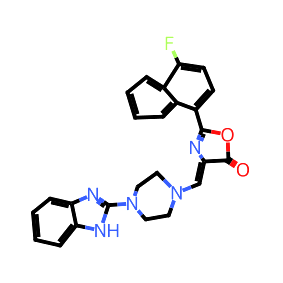 O=C1OC(c2ccc(F)c3ccccc23)=NC1=CN1CCN(c2nc3ccccc3[nH]2)CC1